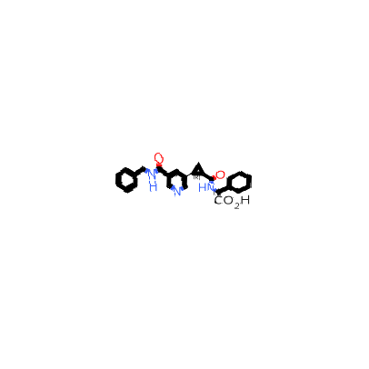 O=C(NCc1ccccc1)c1cncc([C@@H]2CC2C(=O)N[C@H](C(=O)O)C2CCCCC2)c1